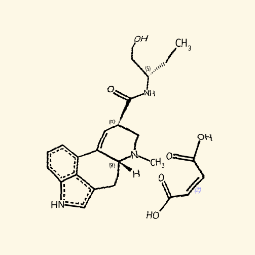 CC[C@@H](CO)NC(=O)[C@@H]1C=C2c3cccc4[nH]cc(c34)C[C@H]2N(C)C1.O=C(O)/C=C\C(=O)O